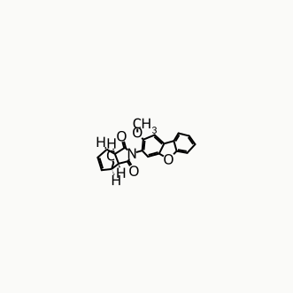 COc1cc2c(cc1N1C(=O)[C@@H]3[C@H](C1=O)[C@@H]1C=C[C@H]3CC1)oc1ccccc12